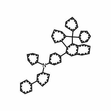 c1ccc(-c2cccc(N(c3ccccc3)c3ccc(-c4cc5ccccc5c5c4-c4ccccc4C5(c4ccccc4)c4ccccc4)cc3)c2)cc1